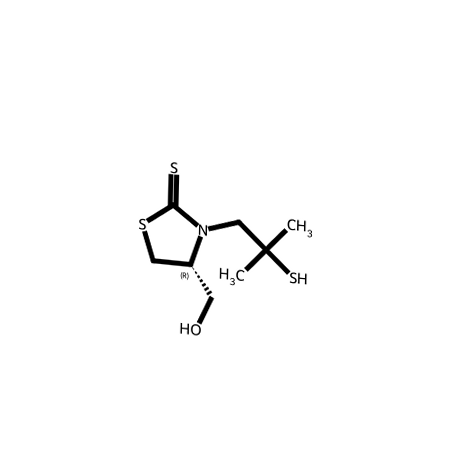 CC(C)(S)CN1C(=S)SC[C@H]1CO